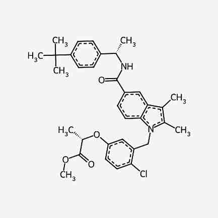 COC(=O)[C@H](C)Oc1ccc(Cl)c(Cn2c(C)c(C)c3cc(C(=O)N[C@@H](C)c4ccc(C(C)(C)C)cc4)ccc32)c1